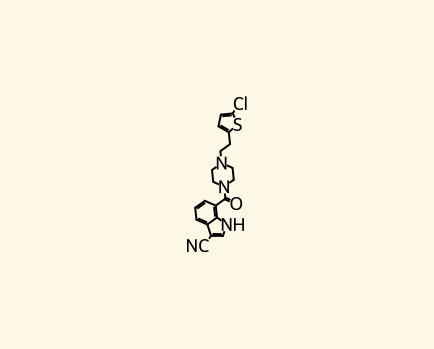 N#Cc1c[nH]c2c(C(=O)N3CCN(CCc4ccc(Cl)s4)CC3)cccc12